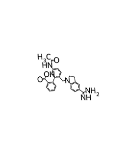 CC(=O)Nc1ccc(CN2CCc3cc(C(=N)N)ccc32)c(-c2ccccc2C(=O)O)c1